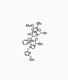 CCC(C)C(C(=O)NC(Cc1ccccc1)C(O)CN(CCC(C)C)NC(=O)N(CC(C)(C)C)C(=O)OC)N1CCN(Cc2cccc(CO)n2)C1=O